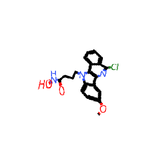 COc1ccc2c(c1)c1nc(Cl)c3ccccc3c1n2CCCC(=O)NO